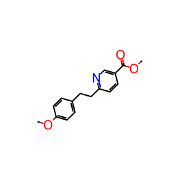 COC(=O)c1ccc(CCc2ccc(OC)cc2)nc1